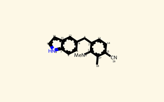 CNc1c(Cc2ccc3[nH]ccc3c2)ccc(C#N)c1C